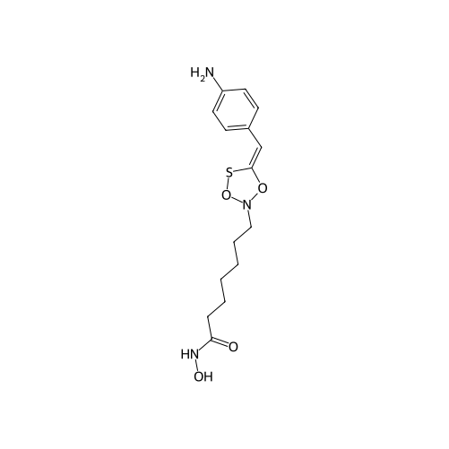 Nc1ccc(/C=C2/ON(CCCCCCC(=O)NO)OS2)cc1